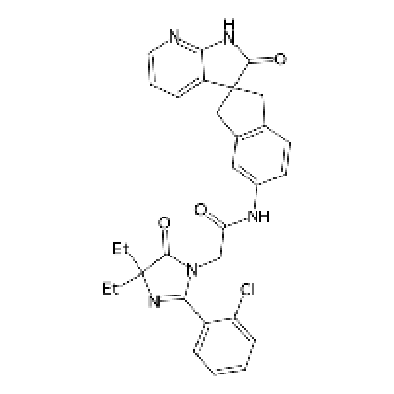 CCC1(CC)N=C(c2ccccc2Cl)N(CC(=O)Nc2ccc3c(c2)CC2(C3)C(=O)Nc3ncccc32)C1=O